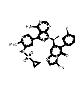 COc1ncc(-c2nn([C@@H](C)c3cc4scc(C#N)n4c(=O)c3-c3cccc(F)c3)c3ncnc(N)c23)cc1NS(=O)(=O)C1CC1